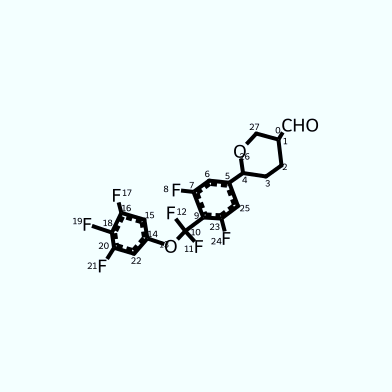 O=CC1CCC(c2cc(F)c(C(F)(F)Oc3cc(F)c(F)c(F)c3)c(F)c2)OC1